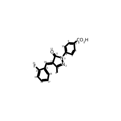 CC1=NN(c2ccc(C(=O)O)cc2)C(=O)/C1=C/c1ccccc1F